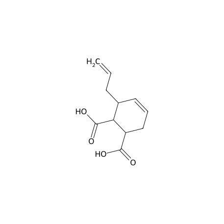 C=CCC1C=CCC(C(=O)O)C1C(=O)O